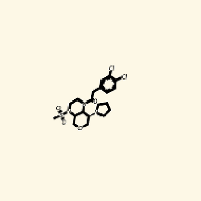 CS(=O)(=O)N1CCN(C(=O)Cc2ccc(Cl)c(Cl)c2)C2C1COC[C@@H]2N1CCCC1